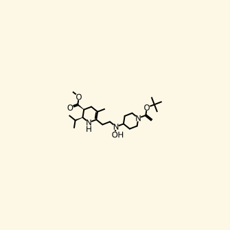 C=C(OC(C)(C)C)N1CCC(N(O)CCC2=C(C)C[C@H](C(=O)OC)[C@H](C(C)C)N2)CC1